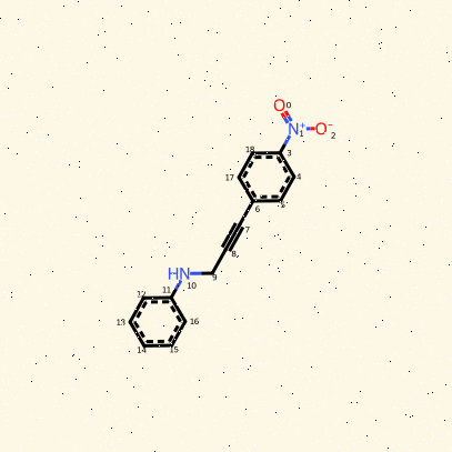 O=[N+]([O-])c1ccc(C#CCNc2ccccc2)cc1